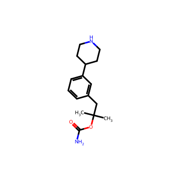 CC(C)(Cc1cccc(C2CCNCC2)c1)OC(N)=O